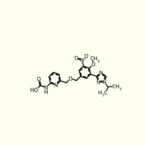 COc1c(-c2ncn(C(C)C)n2)cc(COCc2cccc(NC(=O)O)n2)cc1[N+](=O)[O-]